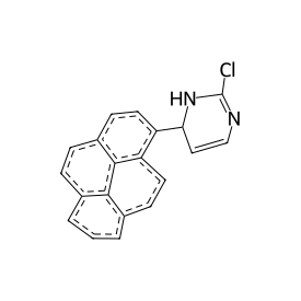 ClC1=NC=CC(c2ccc3ccc4cccc5ccc2c3c45)N1